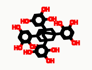 Oc1cc(O)c(O)c(C23CC4(c5cc(O)cc(O)c5O)CC(c5cc(O)cc(O)c5O)(C2)CC(c2cc(O)cc(O)c2O)(C3)C4)c1